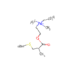 CCCCSCC(C)C(=O)OCC[N+](C)(C)CC(=O)O